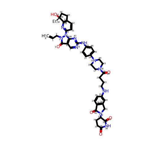 C=CCn1c(=O)c2cnc(Nc3ccc(N4CCN(C(=O)CCCNc5ccc6c(c5)CN(C5CCC(=O)NC5=O)C6=O)CC4)cc3)nc2n1-c1ccc2c(n1)[C@@](O)(CC)CC2